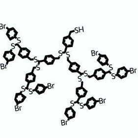 SCc1ccc(C(SCc2ccc(C(SCc3ccc(C(Sc4ccc(Br)cc4)Sc4ccc(Br)cc4)cc3)SCc3ccc(C(Sc4ccc(Br)cc4)Sc4ccc(Br)cc4)cc3)cc2)SCc2ccc(C(SCc3ccc(C(Sc4ccc(Br)cc4)Sc4ccc(Br)cc4)cc3)SCc3ccc(C(Sc4ccc(Br)cc4)Sc4ccc(Br)cc4)cc3)cc2)cc1